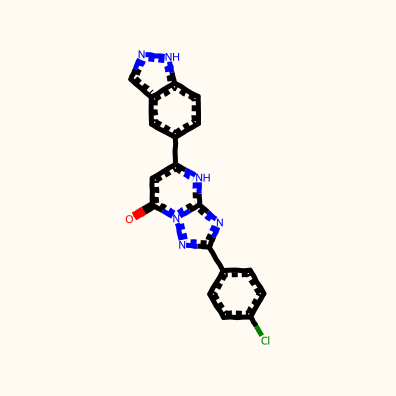 O=c1cc(-c2ccc3[nH]ncc3c2)[nH]c2nc(-c3ccc(Cl)cc3)nn12